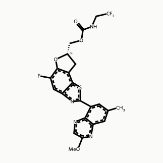 COc1cnc2c(-c3nc4cc(F)c5c(c4s3)C[C@@H](COC(=O)NCC(F)(F)F)O5)cc(C)cc2n1